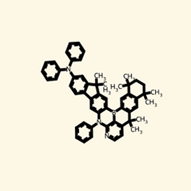 CC1(C)CCC(C)(C)c2cc3c(cc21)B1c2cc4c(cc2N(c2ccccc2)c2nccc(c21)C3(C)C)-c1ccc(N(c2ccccc2)c2ccccc2)cc1C4(C)C